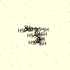 SCCCSCC(CSCCCS)SCCCS.SCCSCC(CSCCS)SCCS.SCSC(CC(SCS)SCS)SCS.SCSCC(CSCS)SCS